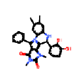 Cc1cc2c(cc1C)-n1c(-c3ccccc3)c3c(=O)n(C)c(=O)n(C)c3c1C(c1cccc(O)c1O)N2